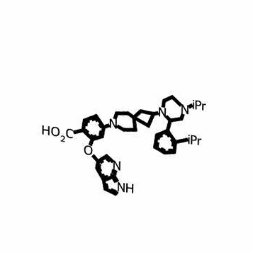 CC(C)c1ccccc1C1CN(C(C)C)CCN1C1CC2(CCN(c3ccc(C(=O)O)c(Oc4cnc5[nH]ccc5c4)c3)CC2)C1